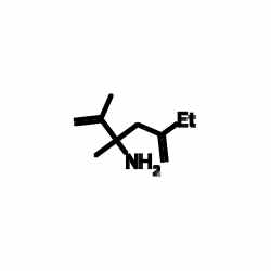 C=C(CC)CC(C)(N)C(=C)C